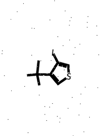 CC(C)(C)c1cscc1I